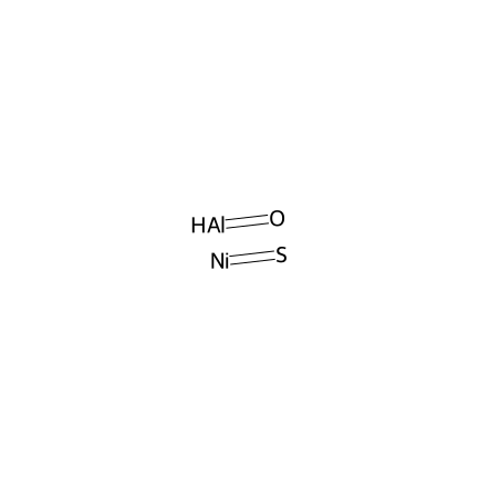 [O]=[AlH].[S]=[Ni]